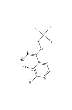 O/N=C(/CCC(F)(F)F)c1cccc(Br)c1F